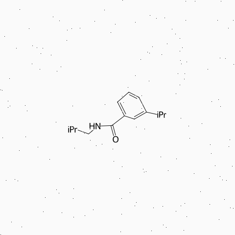 CC(C)CNC(=O)c1cccc(C(C)C)c1